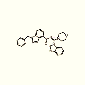 O=C(/N=C(/N1CCOCC1)n1nnc2ccccc21)c1cccc2c1cnn2Cc1ccccc1